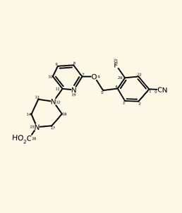 N#Cc1ccc(COc2cccc(N3CCN(C(=O)O)CC3)n2)c(F)c1